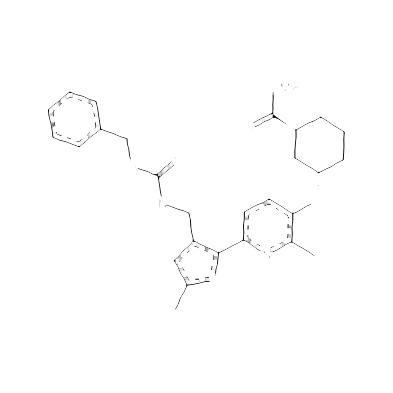 COC(=O)[C@H]1CCC[C@H](Oc2ccc(-c3sc(C)cc3CNC(=O)OCc3ccccc3)nc2C)C1